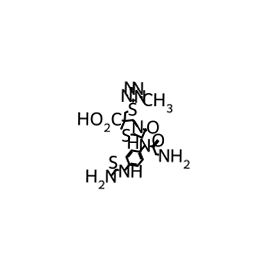 Cn1nnnc1SCC1(C(=O)O)CS[C@@H]2C(N(C(=O)CN)c3ccc(NC(N)=S)cc3)C(=O)N2C1